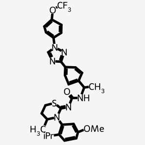 COc1ccc(C(C)C)c(N2/C(=N/C(=O)NC(C)c3ccc(-c4ncn(-c5ccc(OC(F)(F)F)cc5)n4)cc3)SCCC2C)c1